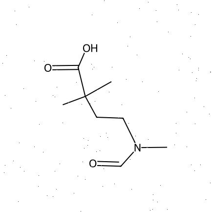 CN(C=O)CCC(C)(C)C(=O)O